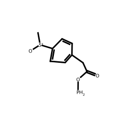 C[S+]([O-])c1ccc(CC(=O)OP)cc1